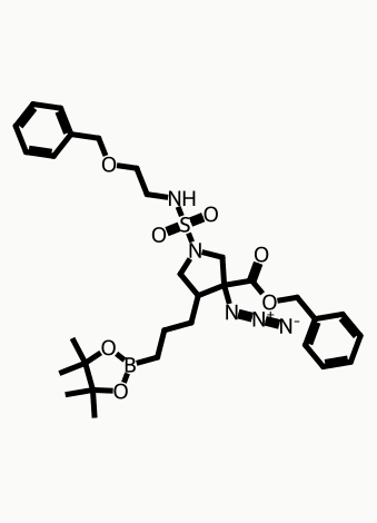 CC1(C)OB(CCCC2CN(S(=O)(=O)NCCOCc3ccccc3)CC2(N=[N+]=[N-])C(=O)OCc2ccccc2)OC1(C)C